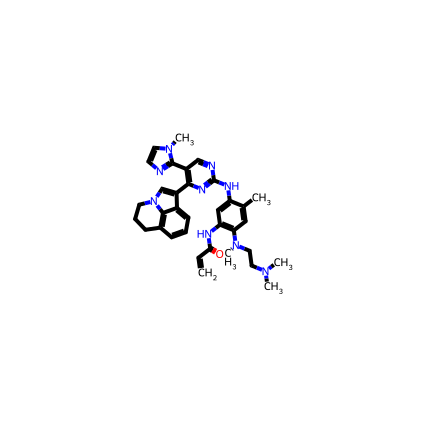 C=CC(=O)Nc1cc(Nc2ncc(-c3nccn3C)c(-c3cn4c5c(cccc35)CCC4)n2)c(C)cc1N(C)CCN(C)C